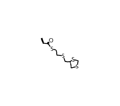 C=CC(=O)SCCSCC1CSCS1